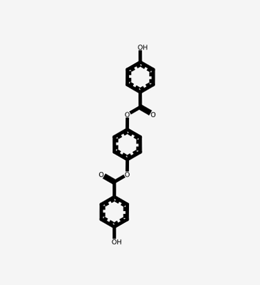 O=C(Oc1ccc(OC(=O)c2ccc(O)cc2)cc1)c1ccc(O)cc1